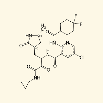 C[C@@H]1C[C@@H](CC(NC(=O)c2cc(Cl)cnc2NC(=O)C2CCC(F)(F)CC2)C(=O)C(=O)NC2CC2)C(=O)N1